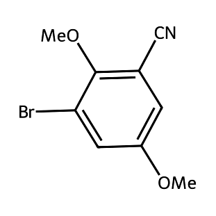 COc1cc(Br)c(OC)c(C#N)c1